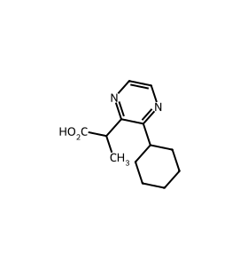 CC(C(=O)O)c1nccnc1C1CCCCC1